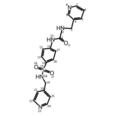 O=C(NCc1cccnc1)Nc1ccc(S(=O)(=O)NCc2ccncc2)cc1